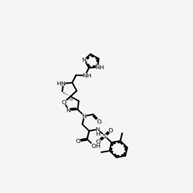 Cc1cccc(C)c1S(=O)(=O)NC(CN(C=O)C1=NO[C@]2(CNC(CNc3ncc[nH]3)C2)C1)C(=O)O